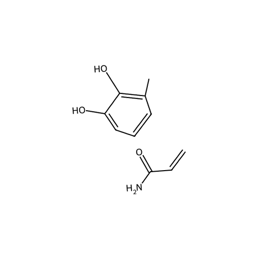 C=CC(N)=O.Cc1cccc(O)c1O